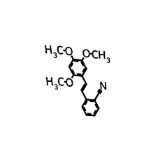 COc1cc(OC)c(OC)cc1C=Cc1ccccc1C#N